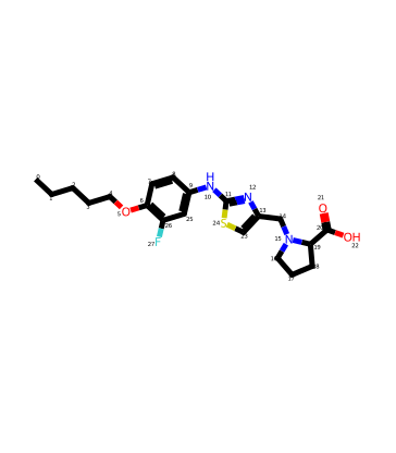 CCCCCOc1ccc(Nc2nc(CN3CCCC3C(=O)O)cs2)cc1F